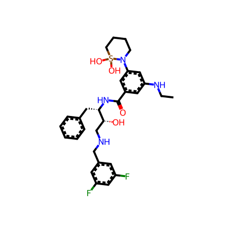 CCNc1cc(C(=O)N[C@@H](Cc2ccccc2)[C@H](O)CNCc2cc(F)cc(F)c2)cc(N2CCCCS2(O)O)c1